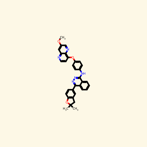 COc1cnc2c(Oc3ccc(Nc4nnc(-c5ccc6c(c5)CC(C)(C)O6)c5ccccc45)cc3)ccnc2c1